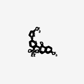 CCS(=O)(=O)c1ccc(-n2ccc(C(F)(F)F)n2)nc1-n1ncc2cc(C(F)(F)F)ccc2c1=O